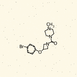 CN1CCN(C(=O)N2CC(Oc3ccc(Br)cc3)C2)CC1